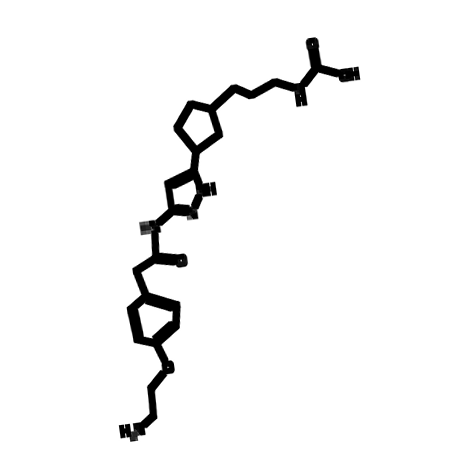 NCCOc1ccc(CC(=O)Nc2cc(C3CCC(CCCNC(=O)O)C3)[nH]n2)cc1